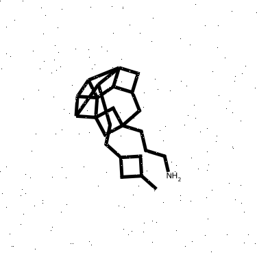 CC1CC(CCC2C3C4C5C26CC2CC7(CCCN)CC3(C7)C45C26)C1